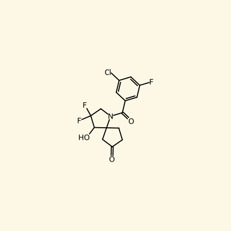 O=C1CCC2(C1)C(O)C(F)(F)CN2C(=O)c1cc(F)cc(Cl)c1